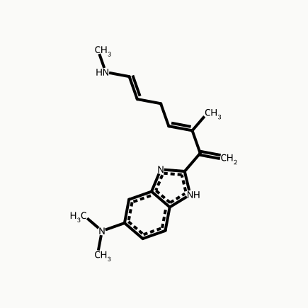 C=C(C(C)=CC/C=C/NC)c1nc2cc(N(C)C)ccc2[nH]1